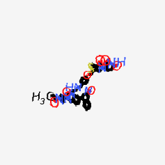 CCC(=O)N1CC(N2Cc3ccc(-c4cc(N=O)cc5ccccc45)cc3N(CCNCc3ccc(OCc4scc5c4CN(C4CCC(=O)NC4=O)C5=O)cc3)C2=O)C1